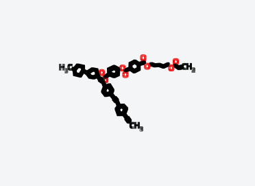 C=CC(=O)OCCCCCOC(=O)C1CCC(C(=O)Oc2ccc(C(=O)OC3(C#Cc4ccc(C#Cc5ccc(C#CC)cc5)cc4)CCC(C4CCC(C)CC4)CC3)cc2)CC1